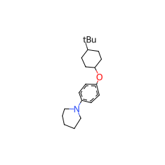 CC(C)(C)C1CCC(Oc2ccc(N3CCCCC3)cc2)CC1